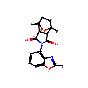 Cc1nc2c(N3C(=O)C4C(C3=O)C3(C)CCC4(C)O3)cccc2o1